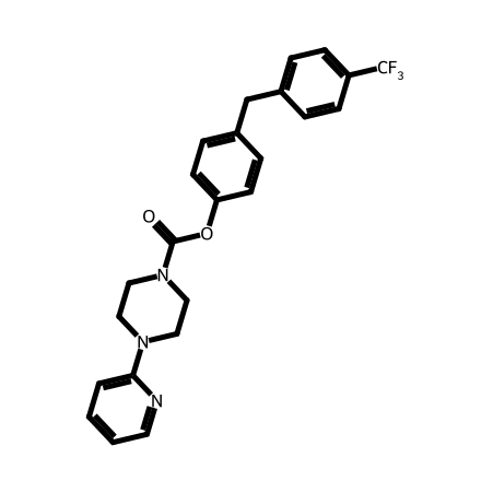 O=C(Oc1ccc(Cc2ccc(C(F)(F)F)cc2)cc1)N1CCN(c2ccccn2)CC1